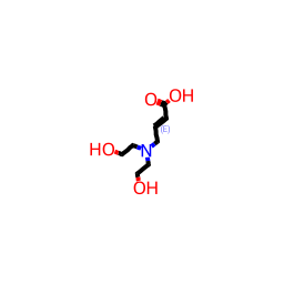 O=C(O)/C=C/CN(CCO)CCO